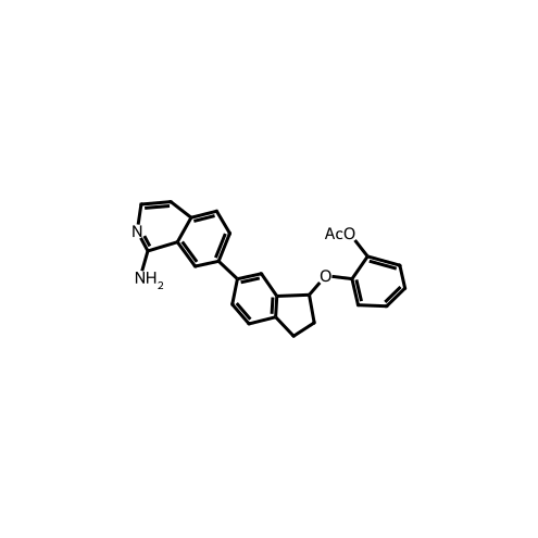 CC(=O)Oc1ccccc1OC1CCc2ccc(-c3ccc4ccnc(N)c4c3)cc21